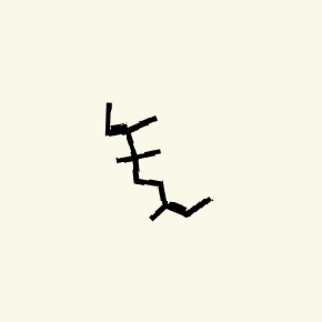 CC=C(C)CCC(C)(C)C(C)=CC